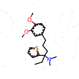 CCC(CCCc1ccc(OC)c(OC)c1)(c1cccs1)N(C)C